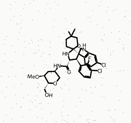 CO[C@H]1C[C@@H](NC(=O)[C@@H]2NC3(CCC(C)(C)CC3)[C@@]3(C(=O)Nc4cc(Cl)ccc43)[C@H]2c2cccc(Cl)c2F)CO[C@@H]1CO